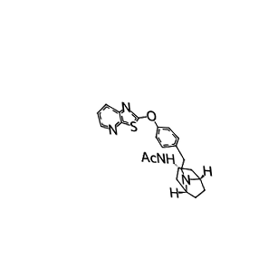 CC(=O)N[C@H]1C[C@H]2CC[C@@H](C1)N2CCc1ccc(Oc2nc3cccnc3s2)cc1